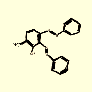 Oc1c[c]c(N=Nc2ccccc2)c(N=Nc2ccccc2)c1O